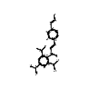 C/C=C/c1ccc(/C=C/B(C)c2c(C(C)C)cc(C(C)C)cc2C(C)C)cc1